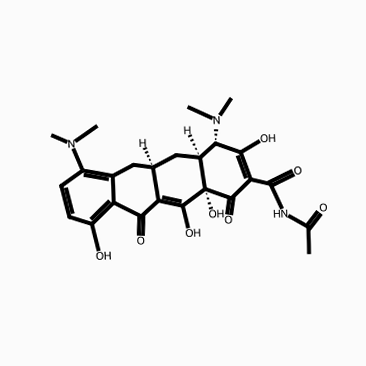 CC(=O)NC(=O)C1=C(O)[C@@H](N(C)C)[C@@H]2C[C@@H]3Cc4c(N(C)C)ccc(O)c4C(=O)C3=C(O)[C@]2(O)C1=O